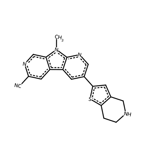 Cn1c2cnc(C#N)cc2c2cc(-c3cc4c(s3)CCNC4)cnc21